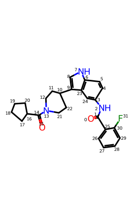 O=C(Nc1ccc2[nH]cc(C3CCN(C(=O)C4CCCC4)CC3)c2c1)c1ccccc1F